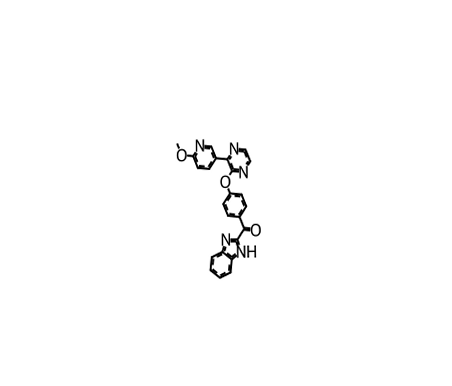 COc1ccc(-c2nccnc2Oc2ccc(C(=O)c3nc4ccccc4[nH]3)cc2)cn1